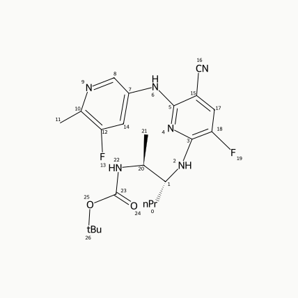 CCC[C@@H](Nc1nc(Nc2cnc(C)c(F)c2)c(C#N)cc1F)[C@H](C)NC(=O)OC(C)(C)C